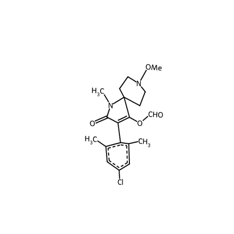 CON1CCC2(CC1)C(OC=O)=C(c1c(C)cc(Cl)cc1C)C(=O)N2C